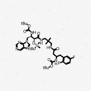 CC(C)(CNC(=O)CC(Cc1cc(F)ccc1F)NC(=O)OC(C)(C)C)CNC(=O)[C@@H](O[Si](C)(C)C(C)(C)C)[C@@H](Cn1cnc2cncnc21)NC(=O)OC(C)(C)C